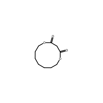 O=C1CC(=O)OCCCCCCCO1